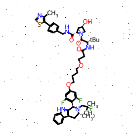 Cc1ncsc1-c1ccc(CNC(=O)[C@@H]2C[C@@H](O)CN2C(=O)[C@@H](NC(=O)CCOCCCCOc2cc(F)c([C@@H]3c4[nH]c5ccccc5c4C[C@@H](C)N3CC(C)(C)F)c(F)c2)C(C)(C)C)cc1